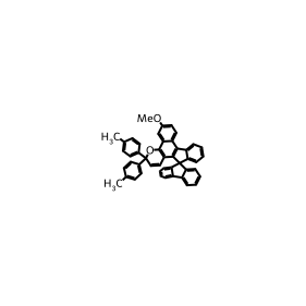 COc1ccc2c3c(c4c(c2c1)OC(c1ccc(C)cc1)(c1ccc(C)cc1)C=C4)C1(c2ccccc2-c2ccccc21)c1ccccc1-3